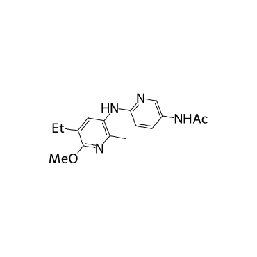 CCc1cc(Nc2ccc(NC(C)=O)cn2)c(C)nc1OC